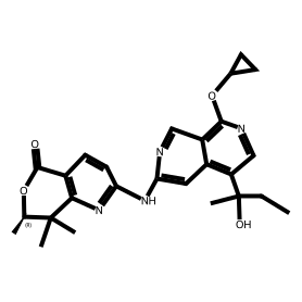 CCC(C)(O)c1cnc(OC2CC2)c2cnc(Nc3ccc4c(n3)C(C)(C)[C@@H](C)OC4=O)cc12